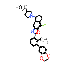 Cc1c(-c2ccc3c(c2)OCCO3)cccc1-c1nc2cc3c(c(F)c2o1)CCC3N1CCC(C(=O)O)C1